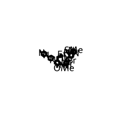 CCN(SC)c1c(Nc2nc(Nc3cc(CC4CC4)c(N4CCC(N5CCN(C)CC5)CC4)cc3OC)ncc2Br)ccc2nccnc12